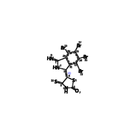 N=C1N/C(=C2/SC(=O)NC2=S)c2c(Br)c(Br)c(Br)c(Br)c21